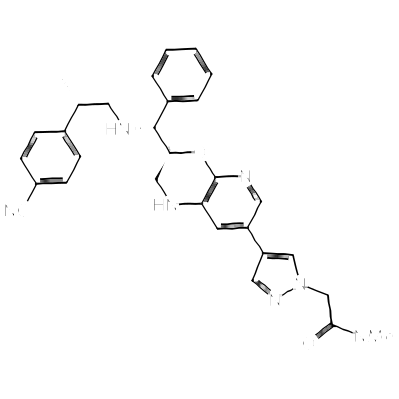 CNC(=O)Cn1cc(-c2cnc3c(c2)NC[C@@H]([C@H](NC[C@@H](C)c2ccc(C#N)cc2)c2ccccc2)O3)cn1